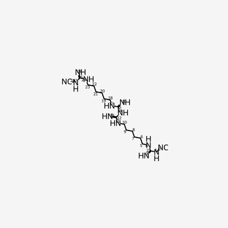 [C-]#[N+]NC(=N)NCCCCCCNC(=N)NC(=N)NCCCCCCNC(=N)NC#N